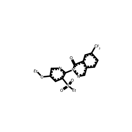 CCOc1cnc(-n2ncc3ccc(C(F)(F)F)cc3c2=O)c(S(=O)(=O)CC)c1